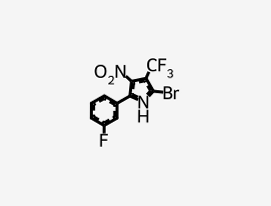 O=[N+]([O-])c1c(-c2cccc(F)c2)[nH]c(Br)c1C(F)(F)F